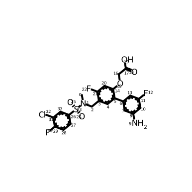 CN(Cc1cc(-c2cc(N)cc(F)c2)c(OCC(=O)O)cc1F)S(=O)(=O)c1ccc(F)c(Cl)c1